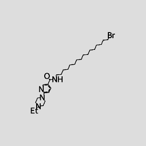 CCN1CCN(c2ccc(C(=O)NCCCCCCCCCCCCCCCCBr)cn2)CC1